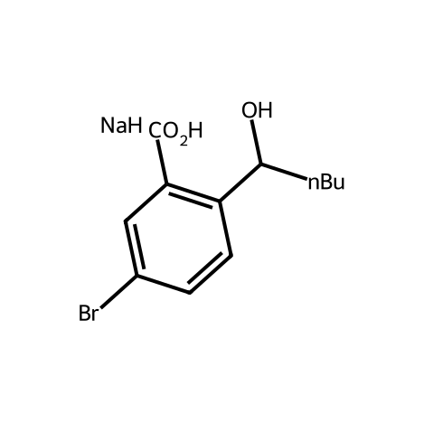 CCCCC(O)c1ccc(Br)cc1C(=O)O.[NaH]